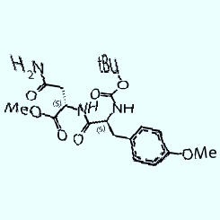 COC(=O)[C@H](CC(N)=O)NC(=O)[C@H](Cc1ccc(OC)cc1)NC(=O)OC(C)(C)C